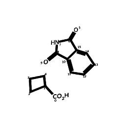 O=C(O)C1CCC1.O=C1NC(=O)c2ccccc21